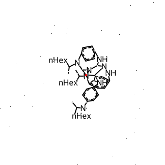 CCCCCCC(C)[N]c1ccc(NC2N=C3N(C(C)CCCCCC)c4ccc(cc4)NC4N2Nc2ccc(cc2)N(C(C)CCCCCC)N34)cc1